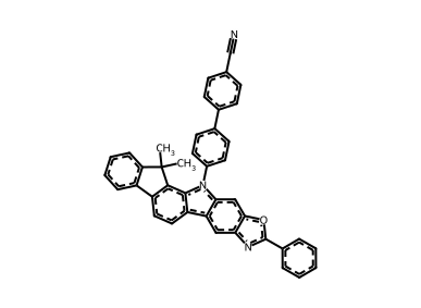 CC1(C)c2ccccc2-c2ccc3c4cc5nc(-c6ccccc6)oc5cc4n(-c4ccc(-c5ccc(C#N)cc5)cc4)c3c21